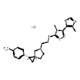 Cc1ncoc1-c1nnc(SCCN2CC[C@]3(C[C@@H]3c3ccc(C(F)(F)F)cc3)C2)n1C.Cl